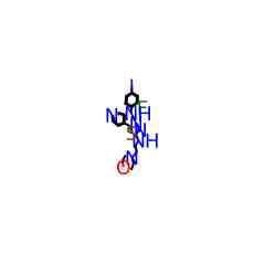 Fc1cc(I)ccc1Nc1cnccc1-c1nnc(NCCN2CCOCC2)s1